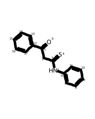 O=C(CC(=S)Nc1ccccc1)c1ccccc1